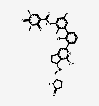 COc1nc(-c2cccc(-c3cc(Cl)cc(NC(=O)c4cn(C)c(=O)n(C)c4=O)c3C)c2Cl)cc2c1[C@@H](NC[C@@H]1CCC(=O)N1)CC2